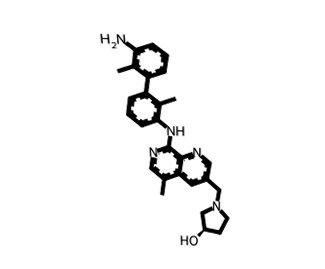 Cc1c(N)cccc1-c1cccc(Nc2ncc(C)c3cc(CN4CC[C@@H](O)C4)cnc23)c1C